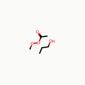 CCCO.COOC(C)=O